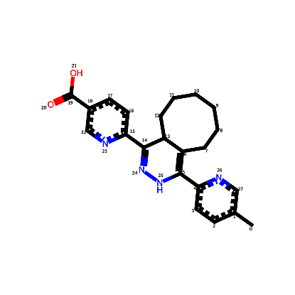 Cc1ccc(C2=C3CCCCCCC3C(c3ccc(C(=O)O)cn3)=NN2)nc1